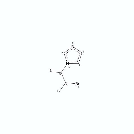 CC(Br)C(C)n1ccnc1